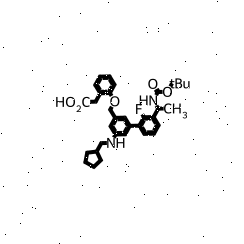 CC(NC(=O)OC(C)(C)C)c1cccc(-c2cc(COc3ccccc3CC(=O)O)cc(NCC3CCCC3)c2)c1F